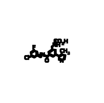 Cc1ccncc1-c1cc(CNC(=O)O)cc(C(=O)NCc2cc(F)cc(Cl)c2)c1